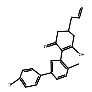 Cc1ccc(-c2ccc(Cl)cc2)cc1C1=C(O)CC(CC=O)CC1=O